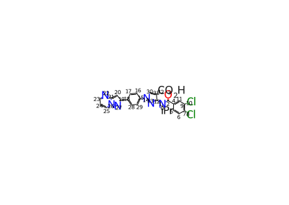 CC(C)N(C(=O)c1ccc(Cl)c(Cl)c1)c1nn(-c2ccc(-c3cc4ncccn4n3)cc2)cc1C(=O)O